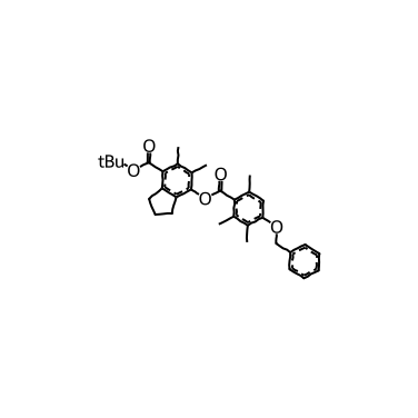 Cc1cc(OCc2ccccc2)c(C)c(C)c1C(=O)Oc1c(C)c(C)c(C(=O)OC(C)(C)C)c2c1CCC2